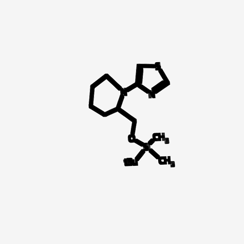 CC(C)(C)[Si](C)(C)OCC1CCCCN1c1cscn1